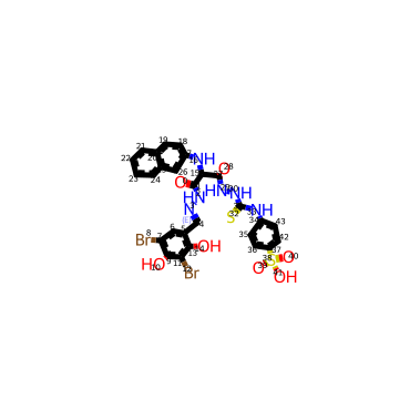 O=C(N/N=C/c1cc(Br)c(O)c(Br)c1O)C(Nc1ccc2ccccc2c1)C(=O)NNC(=S)Nc1ccc(S(=O)(=O)O)cc1